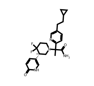 CC(C(N)=O)(c1ccc(CCC2CC2)cn1)N1CCC(F)(F)[C@@H](c2ccc(=O)[nH]c2)C1